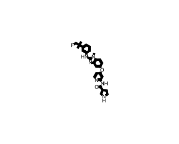 Cn1c(Nc2cccc(C(C)(C)CF)c2)nc2cc(Oc3ccnc(NC(=O)C4CCNC4)c3)ccc21